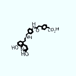 O=C(O)Cc1ccc(CC(=O)Nc2ccc(CNCCc3ccc(O)c4[nH]c(=O)ccc34)cc2)cc1